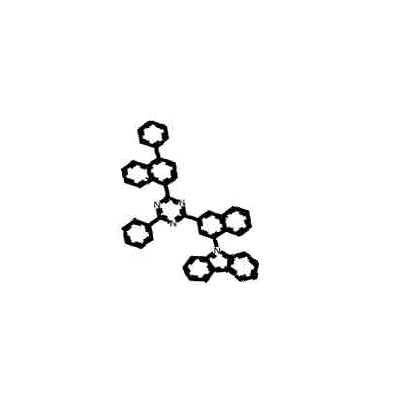 c1ccc(-c2nc(-c3cc(-n4c5ccccc5c5ccccc54)c4ccccc4c3)nc(-c3ccc(-c4ccccc4)c4ccccc34)n2)cc1